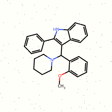 COc1ccccc1C(c1c(-c2ccccc2)[nH]c2ccccc12)N1CCCCC1